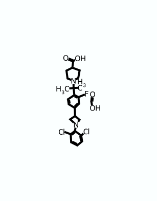 CC(C)(c1ccc(C2CN(c3c(Cl)cccc3Cl)C2)cc1F)N1CCC(C(=O)O)CC1.O=CO